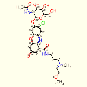 COCCN(C)CCCNC(=O)c1cc(=O)cc2oc3cc(O[C@@H]4OC(CO)[C@H](O)C(O)C4NC(C)=O)c(Cl)cc3nc1-2